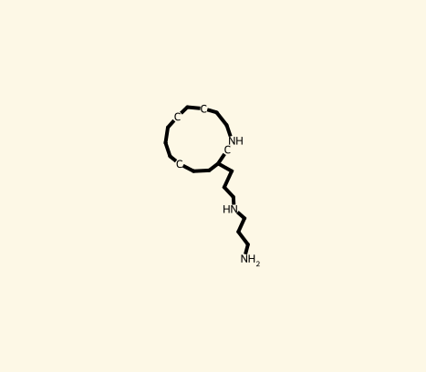 NCCCNCCCC1CCCCCCCCCCCNC1